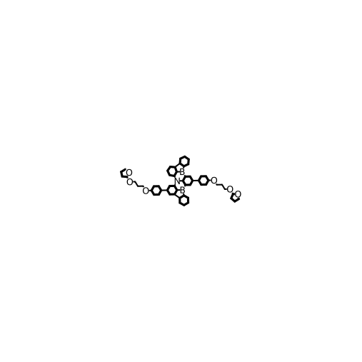 c1coc(OCCCOc2ccc(-c3cc4c5c(c3)B3c6ccccc6-c6cc(-c7ccc(OCCCOc8ccco8)cc7)cc(c63)N5c3cccc5c3B4c3ccccc3-5)cc2)c1